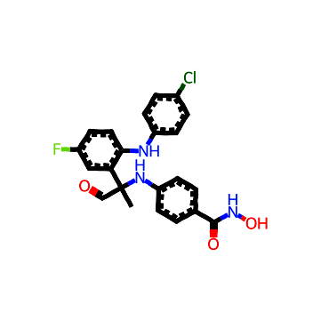 CC(C=O)(Nc1ccc(C(=O)NO)cc1)c1cc(F)ccc1Nc1ccc(Cl)cc1